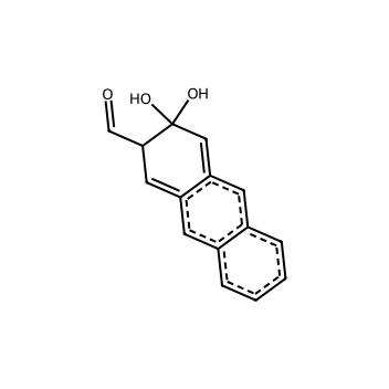 O=CC1C=c2cc3ccccc3cc2=CC1(O)O